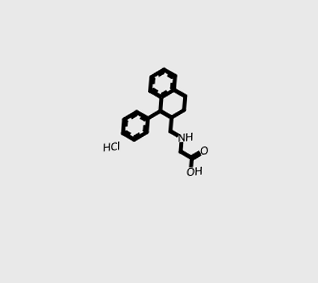 Cl.O=C(O)CNCC1CCc2ccccc2C1c1ccccc1